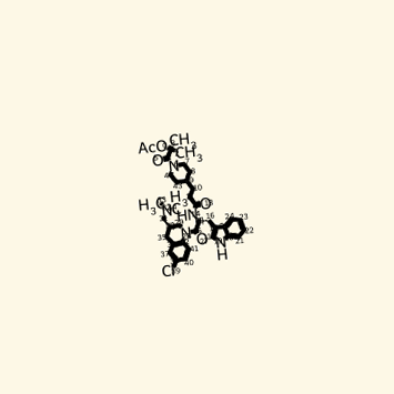 CC(=O)OC(C)(C)C(=O)N1CCC(CCC(=O)N[C@H](Cc2c[nH]c3ccccc23)C(=O)N2C[C@H](CN(C)C)Cc3cc(Cl)ccc32)CC1